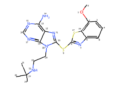 COc1cccc2nc(Sc3nc4c(N)ncnc4n3CCNC(C)(C)C)sc12